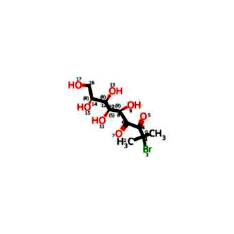 CC(C)(Br)C(=O)C(=O)[C@H](O)[C@@H](O)[C@H](O)[C@H](O)CO